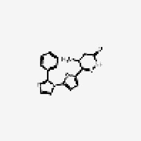 CC1CC(=O)NN=C1c1ccc(-n2ccnc2-c2ccccc2)s1